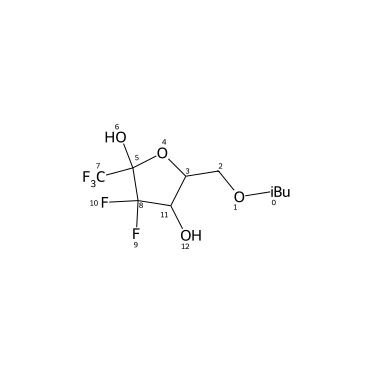 CCC(C)OCC1OC(O)(C(F)(F)F)C(F)(F)C1O